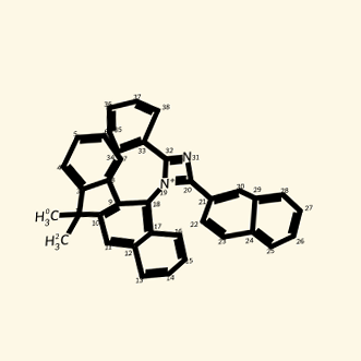 CC1(C)c2ccccc2-c2c1cc1ccccc1c2[N+]1=C(c2ccc3ccccc3c2)N=C1c1ccccc1